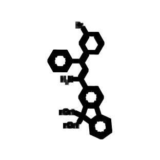 CCCCCCCCC1(CCCCCCCC)c2ccccc2-c2ccc(/C(N)=C/C(=C3/C=C(Br)C=CC3)c3ccccc3)cc21